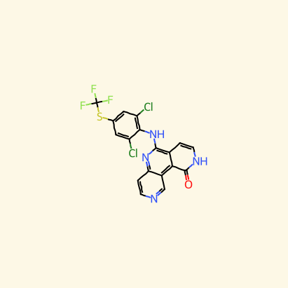 O=c1[nH]ccc2c(Nc3c(Cl)cc(SC(F)(F)F)cc3Cl)nc3ccncc3c12